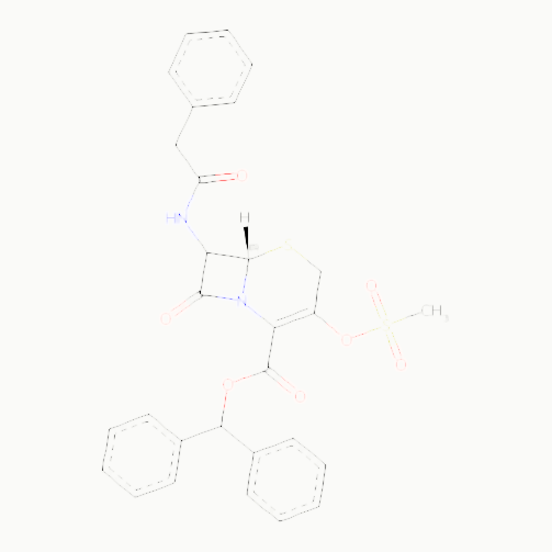 CS(=O)(=O)OC1=C(C(=O)OC(c2ccccc2)c2ccccc2)N2C(=O)C(NC(=O)Cc3ccccc3)[C@@H]2SC1